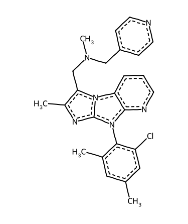 Cc1cc(C)c(-n2c3ncccc3n3c(CN(C)Cc4ccncc4)c(C)nc23)c(Cl)c1